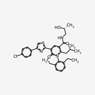 CCc1cccc(CC)c1-n1c(CC(C)C)c(C(=O)NC[C@@H](C)O)cc(-c2nc(-c3ccc(Cl)cc3)cs2)c1=O